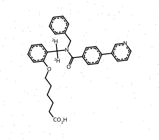 [2H]C([2H])(c1ccccc1OCCCCCC(=O)O)N(Cc1ccccc1)C(=O)c1ccc(-c2cccnc2)cc1